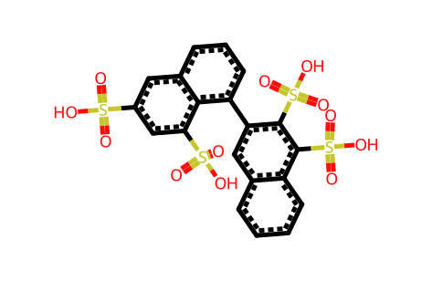 O=S(=O)(O)c1cc(S(=O)(=O)O)c2c(-c3cc4ccccc4c(S(=O)(=O)O)c3S(=O)(=O)O)cccc2c1